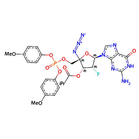 COc1ccc(OP(=O)(OC[C@@]2(N=[N+]=[N-])O[C@@H](n3cnc4c(=O)[nH]c(N)nc43)[C@H](F)[C@@H]2OC(=O)C(C)C)Oc2ccc(OC)cc2)cc1